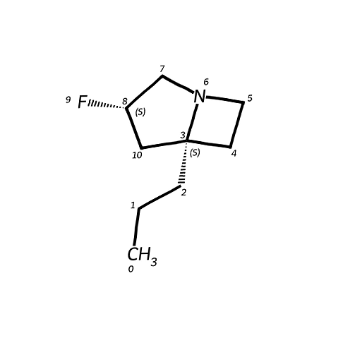 CCC[C@@]12CCN1C[C@@H](F)C2